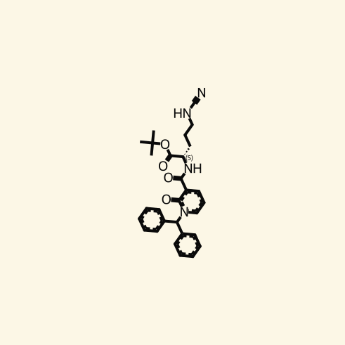 CC(C)(C)OC(=O)[C@H](CCCNC#N)NC(=O)c1cccn(C(c2ccccc2)c2ccccc2)c1=O